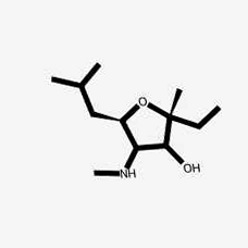 CC[C@@]1(C)O[C@H](CC(C)C)C(NC)C1O